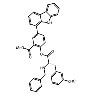 COC(=O)c1cc(-c2nccc3c2[nH]c2ccccc23)ccc1OC(=O)[C@H](Cc1cccc(C=O)c1)NCc1ccccc1